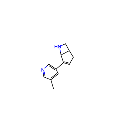 Cc1cncc(C2=CCC3CNC23)c1